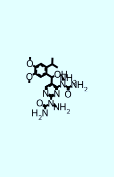 COc1cc(C(C)C)c(C(O)c2cnc(N(N)C(N)=O)nc2N(N)C(N)=O)cc1OC